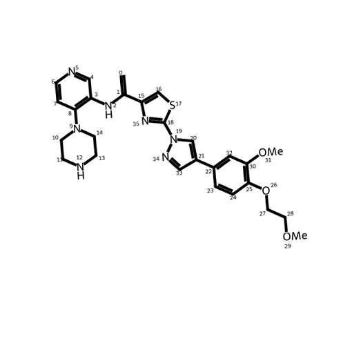 C=C(Nc1cnccc1N1CCNCC1)c1csc(-n2cc(-c3ccc(OCCOC)c(OC)c3)cn2)n1